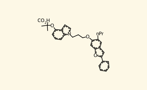 CCCc1cc2cc(-c3ccccc3)oc2cc1OCCCn1ccc2c(OC(C)(C)C(=O)O)cccc21